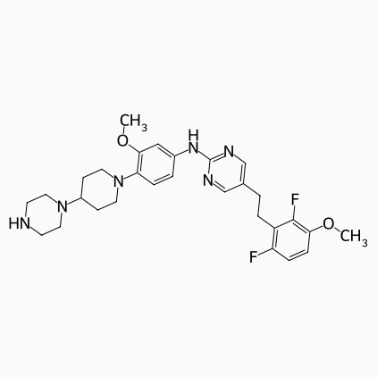 COc1cc(Nc2ncc(CCc3c(F)ccc(OC)c3F)cn2)ccc1N1CCC(N2CCNCC2)CC1